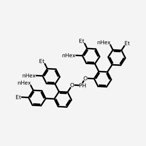 CCCCCCc1cc(-c2cccc(OPOc3cccc(-c4ccc(CC)c(CCCCCC)c4)c3-c3ccc(CC)c(CCCCCC)c3)c2-c2ccc(CC)c(CCCCCC)c2)ccc1CC